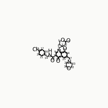 O=C1CC2(CCO1)Cn1cc(C(=O)NCc3ccc(Cl)cc3)c(=O)c3cc(CN4CCOCC4)cc(c31)O2